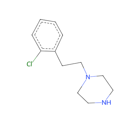 Clc1ccccc1CCN1CCNCC1